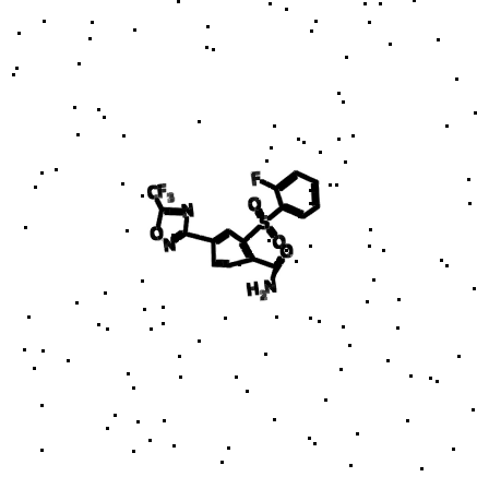 NC(=O)c1ccc(-c2noc(C(F)(F)F)n2)cc1S(=O)(=O)c1ccccc1F